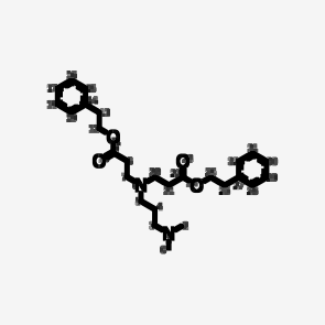 CN(C)CCCN(CCC(=O)OCCc1ccccc1)CCC(=O)OCCc1ccccc1